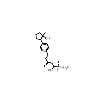 CC1(O)CCCC1c1ccc(OCC(=O)OC(O)C(F)(F)S(=O)(=O)O)cc1